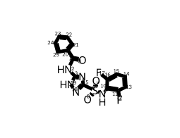 O=C(Nc1nc(S(=O)(=O)Nc2c(F)cccc2F)n[nH]1)c1ccccc1